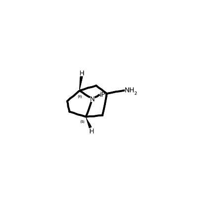 CC(C)N1[C@@H]2CC[C@H]1CC(N)C2